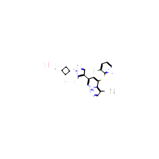 Cc1c(-c2cc(Sc3ncccc3F)c3c(C#N)cnn3c2)cnn1[C@H]1C[C@@H](CO)C1